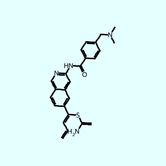 C=C/C=C(\SC(=C)N)c1ccc2cnc(NC(=O)c3ccc(CN(C)C)cc3)cc2c1